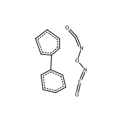 O=C=NON=C=O.c1ccc(-c2ccccc2)cc1